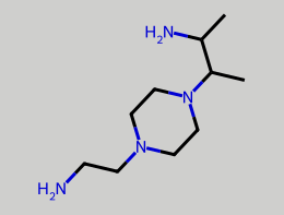 CC(N)C(C)N1CCN(CCN)CC1